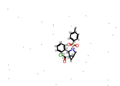 Cc1ccc(S(=O)(=O)N2CC3C[C@@]3(C(=O)Cl)[C@H]2c2ccccc2)cc1